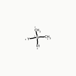 CC[Si](C)(C)[Y]